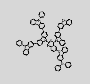 c1ccc(N(c2ccccc2)c2ccc3c(c2)c2ccccc2n3-c2ccc3nc(-n4c5ccc(-c6ccc7c(c6)c6ccccc6n7-c6ccccc6)cc5c5cc(-c6ccc7c(c6)c6ccccc6n7-c6ccccc6)ccc54)nc(-n4c5ccccc5c5cc(-c6ccc7oc8ccccc8c7c6)ccc54)c3c2)cc1